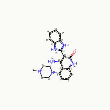 CN1CCN(c2cccc3[nH]c(=O)c(-c4nc5ccccc5[nH]4)c(N)c23)CC1